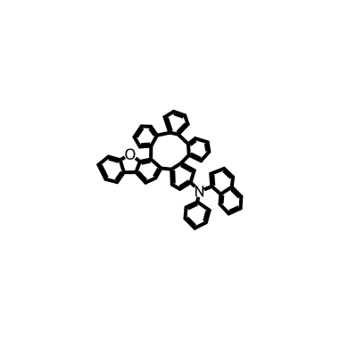 c1ccc(N(c2ccc3c(c2)c2ccccc2c2ccccc2c2ccccc2c2c3ccc3c4ccccc4oc32)c2cccc3ccccc23)cc1